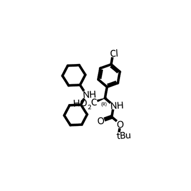 C1CCC(NC2CCCCC2)CC1.CC(C)(C)OC(=O)N[C@@H](C(=O)O)c1ccc(Cl)cc1